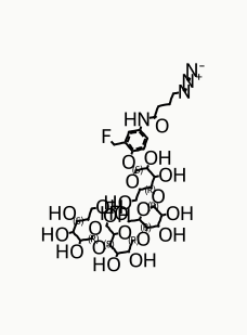 [N-]=[N+]=NCCCC(=O)Nc1ccc(O[C@@H]2OC(CO)[C@H](O[C@H]3OC(CO)[C@H](O[C@H]4OC(CO)[C@@H](O[C@H]5OC(CO)[C@@H](O)C(O)C5O)C(O)C4O)C(O)C3O)C(O)C2O)c(CF)c1